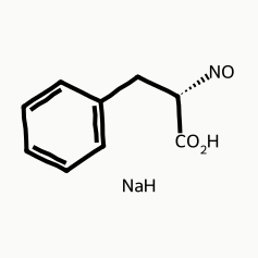 O=N[C@@H](Cc1ccccc1)C(=O)O.[NaH]